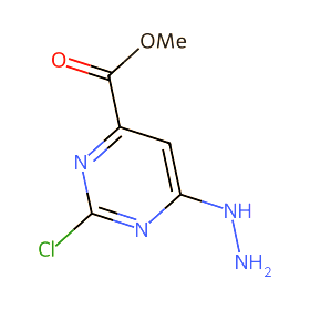 COC(=O)c1cc(NN)nc(Cl)n1